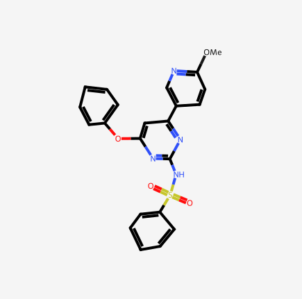 COc1ccc(-c2cc(Oc3ccccc3)nc(NS(=O)(=O)c3ccccc3)n2)cn1